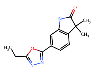 CCc1nnc(-c2ccc3c(c2)NC(=O)C3(C)C)o1